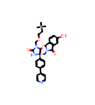 C[Si](C)(C)CCOCN1C(=O)N[C@@](CN2Cc3ccc(O)cc3C2=O)(c2ccc(-c3ccncc3)cc2)C1=O